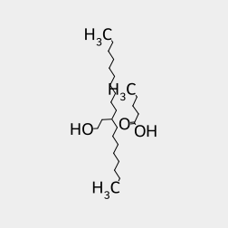 CCCCC(=O)O.CCCCCCCCCCC(CCO)CCCCCCCC